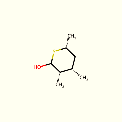 C[C@@H]1C[C@H](C)[C@H](C)C(O)S1